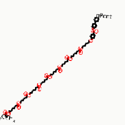 C=C(C)C(=O)OCCCCCC(=O)OCCCCCC(=O)OCCCCCC(=O)OCCCCCC(=O)OCCCCCC(=O)OCCCCCC(=O)OCCCCCC(=O)OCCCCCCOc1ccc(C(=O)Oc2ccc(C3CCC(CCCCC)CC3)cc2)cc1